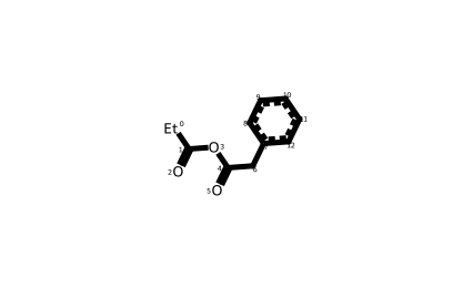 CCC(=O)OC(=O)Cc1ccccc1